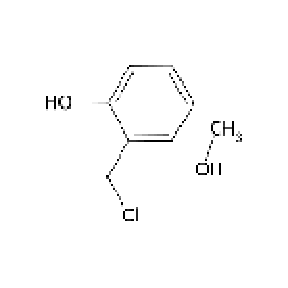 CO.Oc1ccccc1CCl